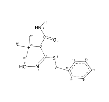 CNC(=O)C(C(=NO)SCc1ccccc1)C(C)(C)C